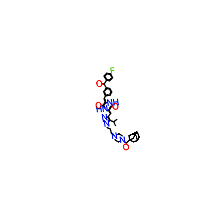 CC(C)c1c(/C=c2\[nH]c(=O)/c(=C/c3cccc(C(=O)c4ccc(F)cc4)c3)[nH]c2=O)ncn1CCCN1CCN(C(=O)C23CC4CC(C2)C(C4)C3)CC1